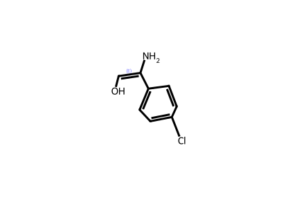 N/C(=C/O)c1ccc(Cl)cc1